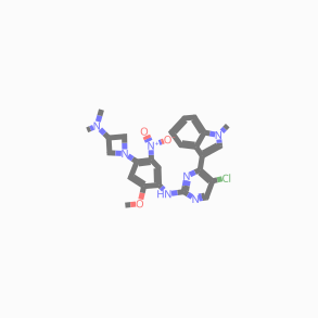 COc1cc(N2CC(N(C)C)C2)c([N+](=O)[O-])cc1Nc1ncc(Cl)c(-c2cn(C)c3ccccc23)n1